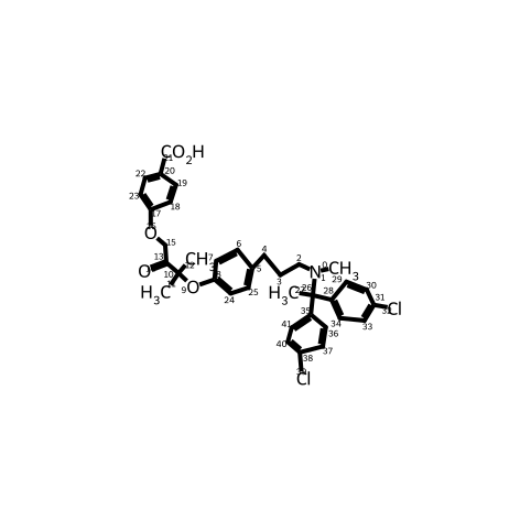 CN(CCCc1ccc(OC(C)(C)C(=O)COc2ccc(C(=O)O)cc2)cc1)C(C)(c1ccc(Cl)cc1)c1ccc(Cl)cc1